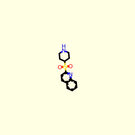 O=S(=O)(c1ccc2ccccc2n1)C1CCNCC1